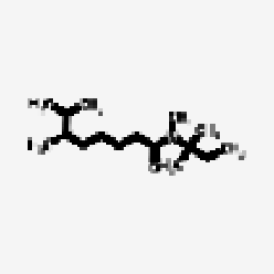 CCC(C)(C)N(C)C(=O)CCCC[C@@H](C)C(C)C